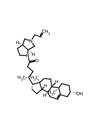 C=CCN1C[C@@H]2CCN(C(=O)CC[C@@H](C)[C@H]3CC[C@H]4[C@@H]5CC=C6C[C@@H](O)CC[C@]6(C)[C@H]5CC[C@]34C)[C@@H]2C1